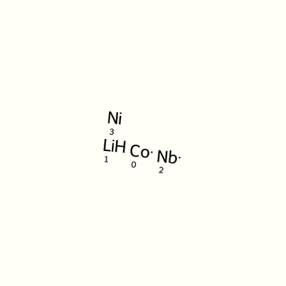 [Co].[LiH].[Nb].[Ni]